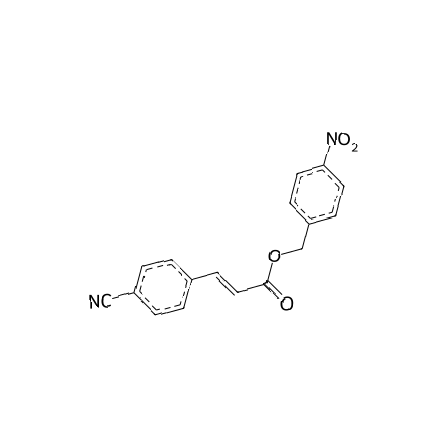 N#Cc1ccc(C=CC(=O)OCc2ccc([N+](=O)[O-])cc2)cc1